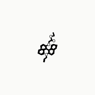 C=CCOc1ccc2ccccc2c1-c1c(OCC(=O)OCC)ccc2ccccc12